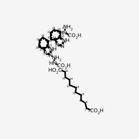 NNC(=O)O.NNC(=O)O.O=C(O)CCCCCCCCCCC(=O)O.c1ccc2[nH]nnc2c1.c1ccc2[nH]nnc2c1